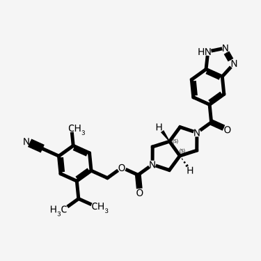 Cc1cc(COC(=O)N2C[C@@H]3CN(C(=O)c4ccc5[nH]nnc5c4)C[C@H]3C2)c(C(C)C)cc1C#N